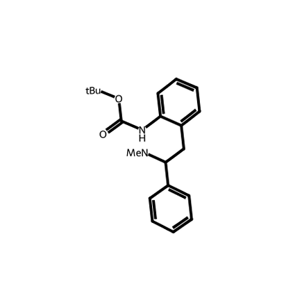 CNC(Cc1ccccc1NC(=O)OC(C)(C)C)c1ccccc1